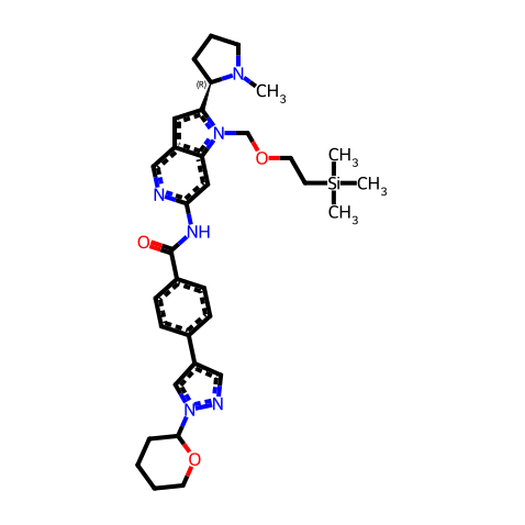 CN1CCC[C@@H]1c1cc2cnc(NC(=O)c3ccc(-c4cnn(C5CCCCO5)c4)cc3)cc2n1COCC[Si](C)(C)C